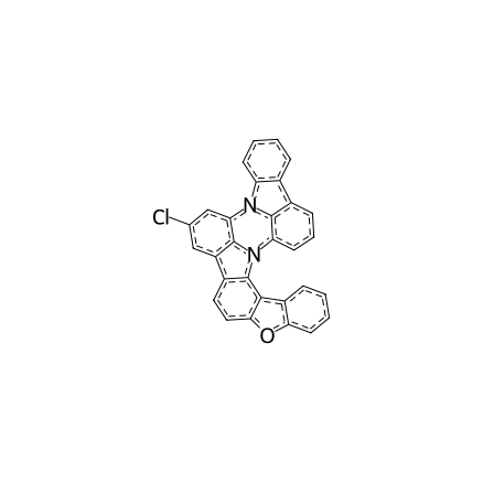 Clc1cc2c3ccc4oc5ccccc5c4c3n3c4cccc5c6ccccc6n(c(c1)c23)c54